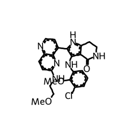 COCCNc1ccc2nccc(-c3[nH]c4c(c3Nc3cccc(Cl)c3OC)C(=O)NCC4)c2n1